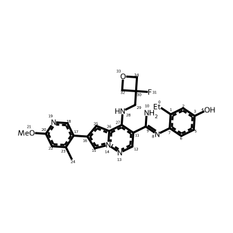 CCc1cc(O)ccc1/N=C(\N)c1cnn2cc(-c3cnc(OC)cc3C)cc2c1NCC1(F)COC1